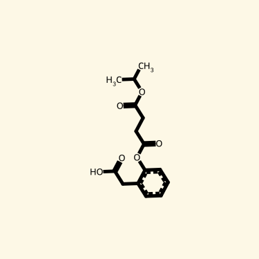 CC(C)OC(=O)CCC(=O)Oc1ccccc1CC(=O)O